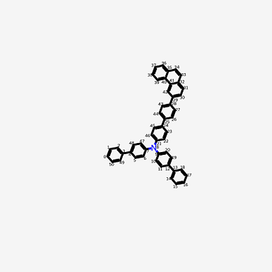 c1ccc(-c2ccc(N(c3ccc(-c4ccccc4)cc3)c3ccc(-c4ccc(-c5ccc6ccc7ccccc7c6c5)cc4)cc3)cc2)cc1